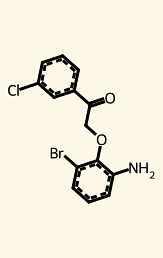 Nc1cccc(Br)c1OCC(=O)c1cccc(Cl)c1